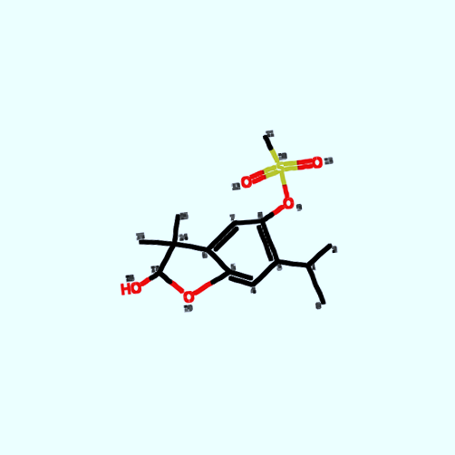 CC(C)c1cc2c(cc1OS(C)(=O)=O)C(C)(C)C(O)O2